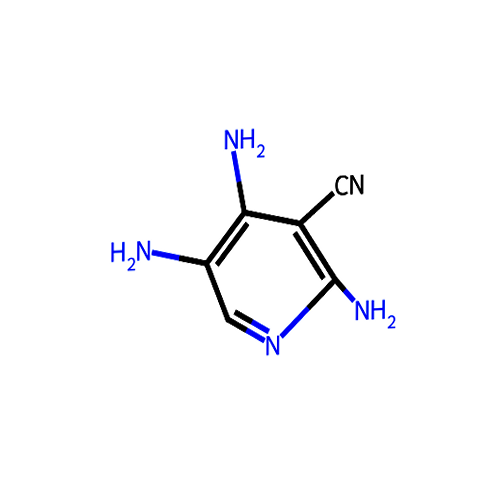 N#Cc1c(N)ncc(N)c1N